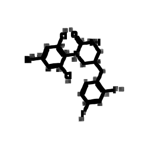 O=C1NCC(Cc2ccc(F)cc2F)CN1c1c(Cl)cc(Br)cc1Cl